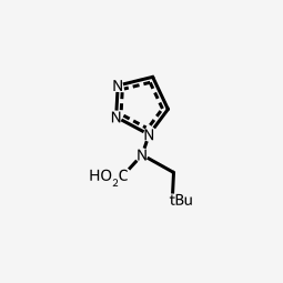 CC(C)(C)CN(C(=O)O)n1ccnn1